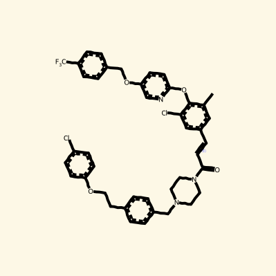 Cc1cc(/C=C/C(=O)N2CCN(Cc3ccc(CCOc4ccc(Cl)cc4)cc3)CC2)cc(Cl)c1Oc1ccc(OCc2ccc(C(F)(F)F)cc2)cn1